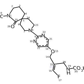 CN1CCCC2(CCN(c3ncc(OC/C(=C/F)CNC(=O)O)cn3)CC2)C1=O